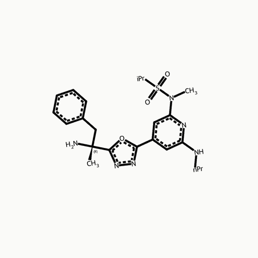 CCCNc1cc(-c2nnc([C@](C)(N)Cc3ccccc3)o2)cc(N(C)S(=O)(=O)C(C)C)n1